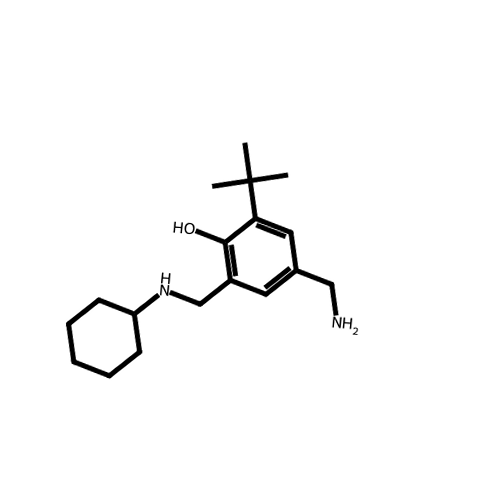 CC(C)(C)c1cc(CN)cc(CNC2CCCCC2)c1O